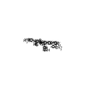 CC(C)c1ccccc1[C@H]1C[S+]([O-])CCN1C1CC2(CCN(c3ccc(C(=O)NS(=O)(=O)c4cnc(NC[C@H]5CC[C@](C)(O)CC5)c(N=O)c4)c(Oc4cnc5[nH]ccc5c4)c3)CC2)C1